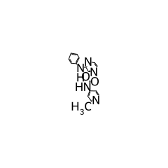 Cc1cc(NC(=O)Oc2nccnc2Nc2ccccc2)ccn1